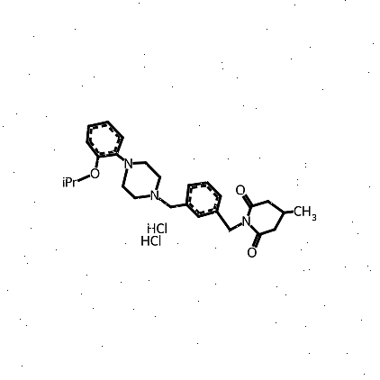 CC1CC(=O)N(Cc2cccc(CN3CCN(c4ccccc4OC(C)C)CC3)c2)C(=O)C1.Cl.Cl